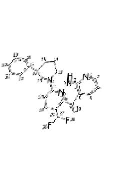 Nc1ncccc1C(=O)c1nc(N2CCCC(c3ccccc3)C2)ccc1C(F)F